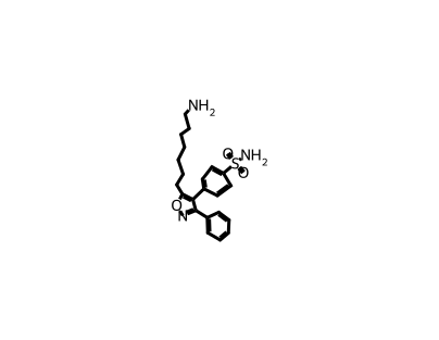 NCCCCCCCc1onc(-c2ccccc2)c1-c1ccc(S(N)(=O)=O)cc1